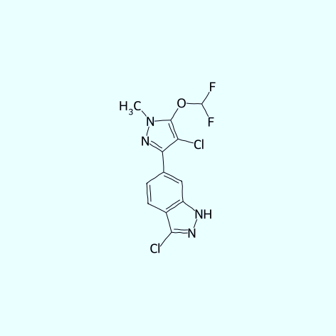 Cn1nc(-c2ccc3c(Cl)n[nH]c3c2)c(Cl)c1OC(F)F